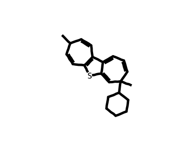 CC1C=Cc2sc3c(c2C=C1)=CC=CC(C)(C1CCCCC1)C=3